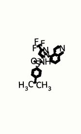 CC(C)c1ccc([S+]([O-])Nc2cc(C(F)(F)F)nn2-c2cccc3cnccc23)cc1